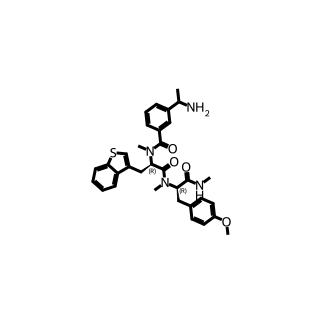 CNC(=O)[C@@H](Cc1ccc(OC)cc1)N(C)C(=O)[C@@H](Cc1csc2ccccc12)N(C)C(=O)c1cccc(C(C)N)c1